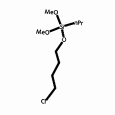 CCC[Si](OC)(OC)OCCCCCl